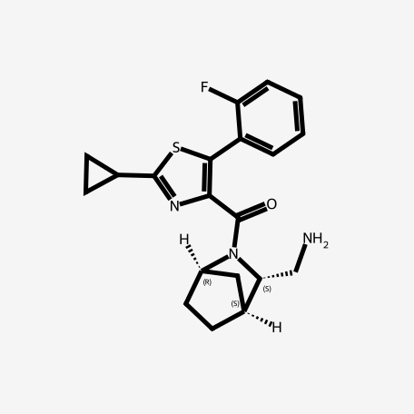 NC[C@@H]1[C@H]2CC[C@H](C2)N1C(=O)c1nc(C2CC2)sc1-c1ccccc1F